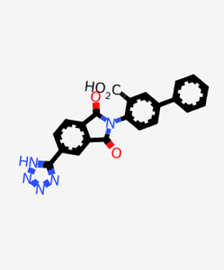 O=C(O)c1cc(-c2ccccc2)ccc1N1C(=O)c2ccc(-c3nnn[nH]3)cc2C1=O